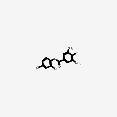 Nc1cc(C(=O)Oc2ccc(Cl)cc2Cl)cc(N)c1Cl